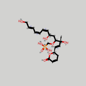 C[C@@](O)(/C=C/[C@H]1CC=CC(=O)O1)C(C[C@@H](O)\C=C/C=C\C=C\CO)OCP(=O)(O)O